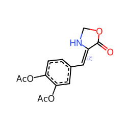 CC(=O)Oc1ccc(/C=C2\NCOC2=O)cc1OC(C)=O